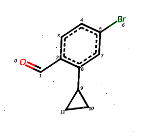 O=Cc1ccc(Br)cc1C1CC1